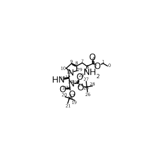 CCOC(=O)C(N)CC1=CCN(C(=N)N(C(=O)OC(C)(C)C)C(=O)OC(C)(C)C)C1